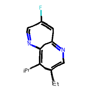 CCc1cnc2cc(F)cnc2c1C(C)C